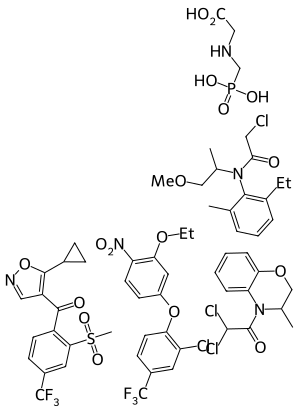 CC1COc2ccccc2N1C(=O)C(Cl)Cl.CCOc1cc(Oc2ccc(C(F)(F)F)cc2Cl)ccc1[N+](=O)[O-].CCc1cccc(C)c1N(C(=O)CCl)C(C)COC.CS(=O)(=O)c1cc(C(F)(F)F)ccc1C(=O)c1cnoc1C1CC1.O=C(O)CNCP(=O)(O)O